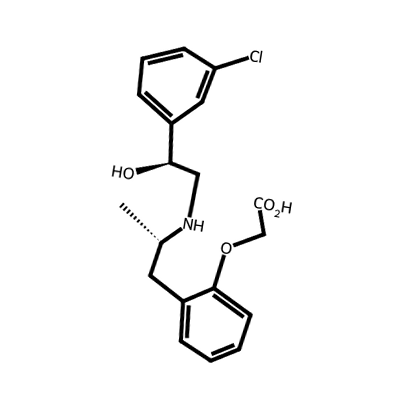 C[C@@H](Cc1ccccc1OCC(=O)O)NC[C@@H](O)c1cccc(Cl)c1